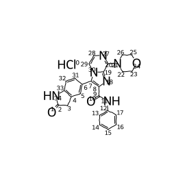 Cl.O=C1Cc2cc(-c3c(C(=O)Nc4ccccc4)nc4c(N5CCOCC5)nccn34)ccc2N1